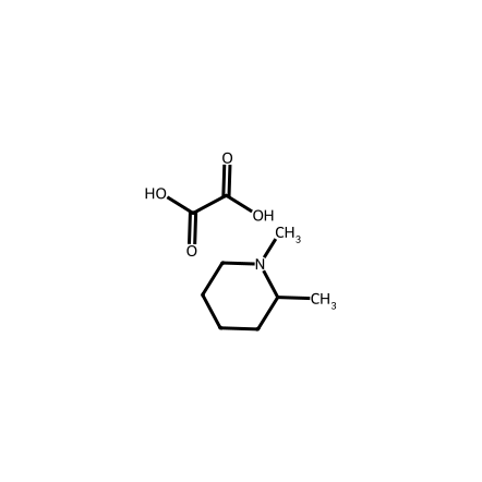 CC1CCCCN1C.O=C(O)C(=O)O